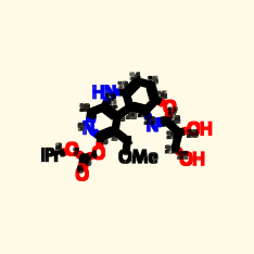 COCc1c(OC(=O)OC(C)C)ncc2[nH]c3ccc4oc(C(O)CO)nc4c3c12